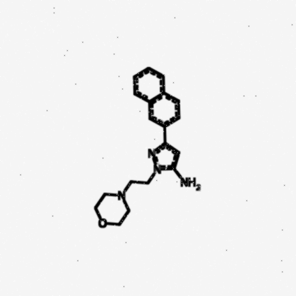 Nc1cc(-c2ccc3ccccc3c2)nn1CCN1CCOCC1